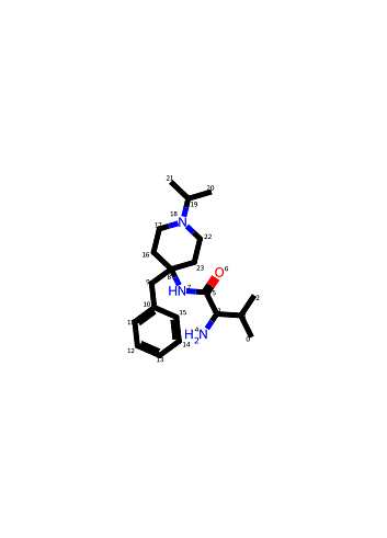 CC(C)C(N)C(=O)NC1(Cc2ccccc2)CCN(C(C)C)CC1